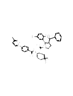 Cc1ccn(-c2ccc(C(=O)N[C@@H]3CCC(F)(F)C[C@@H]3C(=O)N3CCC4C(c5ccccc5)Nc5ccc(F)cc5C43)cc2)n1